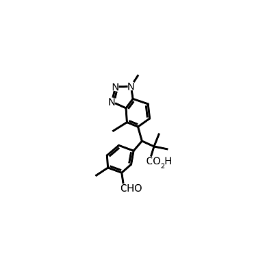 Cc1ccc(C(c2ccc3c(nnn3C)c2C)C(C)(C)C(=O)O)cc1C=O